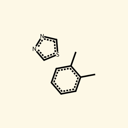 Cc1ccccc1C.c1nncs1